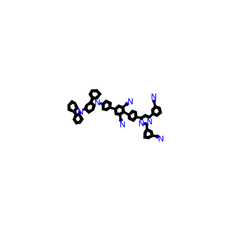 N#Cc1cccc(-c2cc(-c3ccc(-c4c(C#N)cc(-c5ccc(-n6c7ccccc7c7cc(-n8c9ccccc9c9ccccc98)ccc76)cc5)cc4C#N)cc3)nc(-c3cccc(C#N)c3)n2)c1